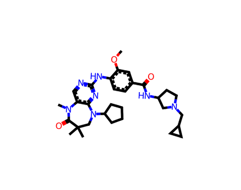 COc1cc(C(=O)NC2CCN(CC3CC3)C2)ccc1Nc1ncc2c(n1)N(C1CCCC1)CC(C)(C)C(=O)N2C